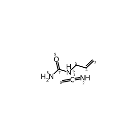 C=C=N.C=CCNC(N)=O